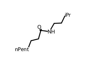 [CH2]CCCCCCC(=O)NCCC(C)C